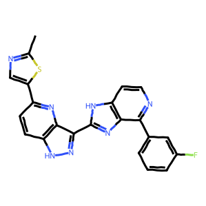 Cc1ncc(-c2ccc3[nH]nc(-c4nc5c(-c6cccc(F)c6)nccc5[nH]4)c3n2)s1